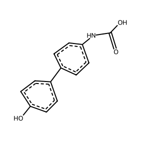 O=C(O)Nc1ccc(-c2ccc(O)cc2)cc1